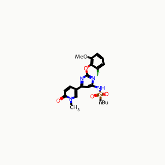 CCCCS(=O)(=O)Nc1cc(-c2ccc(=O)n(C)c2)nc(Oc2c(F)cccc2OC)n1